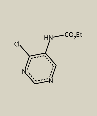 CCOC(=O)Nc1cncnc1Cl